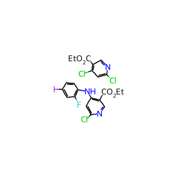 CCOC(=O)c1cnc(Cl)cc1Cl.CCOC(=O)c1cnc(Cl)cc1Nc1ccc(I)cc1F